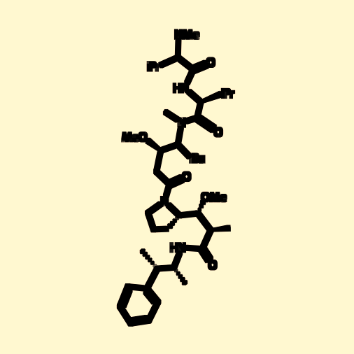 CCC(C)C([C@@H](CC(=O)N1CCC[C@H]1[C@H](OC)[C@@H](C)C(=O)N[C@H](C)[C@@H](C)c1ccccc1)OC)N(C)C(=O)[C@@H](NC(=O)C(NC)C(C)C)C(C)C